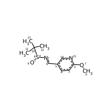 COc1ccc(C=N[S+]([O-])C(C)(C)C)cn1